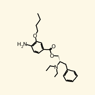 CCCCOc1cc(C(=O)OC[C@H](Cc2ccccc2)N(CC)CC)ccc1N